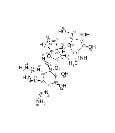 CN[C@@H]1[C@H](O[C@H]2[C@H](O[C@]3(C#N)[C@H](O)[C@@H](O)[C@H](N=CN)[C@@H](O)[C@@H]3N=C(N)N)O[C@@H](C)[C@]2(O)C=O)O[C@@H](CO)[C@H](O)[C@H]1O